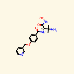 CC(C)(N)[C@H](NC(=O)c1ccc(OCc2cccnc2)cc1)C(=O)NO